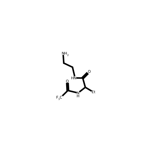 CCC(NC(=O)C(F)(F)F)C(=O)NCCN